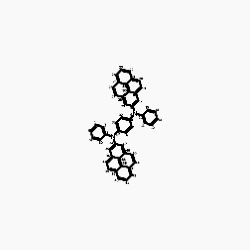 c1ccc(N(c2ccc(N(c3ccccc3)c3cc4ccc5cccc6ccc(c3)c4c56)cc2)c2cc3ccc4cccc5ccc(c2)c3c45)cc1